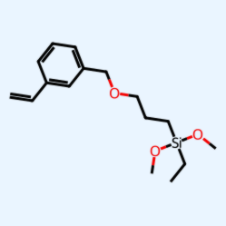 C=Cc1cccc(COCCC[Si](CC)(OC)OC)c1